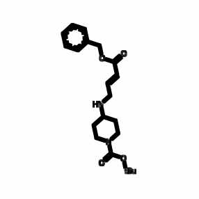 CC(C)(C)OC(=O)N1CCC(NCC=CC(=O)OCc2ccccc2)CC1